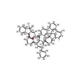 Cc1ccc2c(c1)C1(c3ccccc3-c3ccc(N(c4ccc5c(c4)C(C)(C)c4ccccc4-5)c4ccc(-c5ccccc5)cc4-c4ccccc4)cc31)c1cc(C)ccc1-2